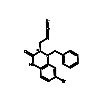 [N-]=[N+]=NC[C@@H]1C(=O)Nc2ccc(Br)cc2N1Cc1ccccc1